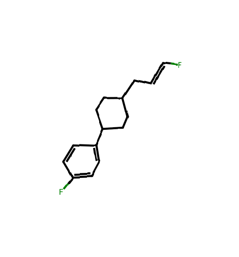 FC=CCC1CCC(c2ccc(F)cc2)CC1